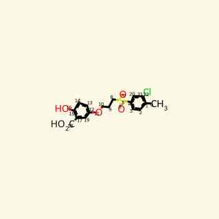 Cc1ccc(S(=O)(=O)CCCOc2ccc(O)c(C(=O)O)c2)cc1Cl